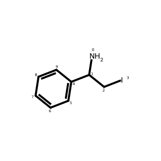 NC(CI)c1ccccc1